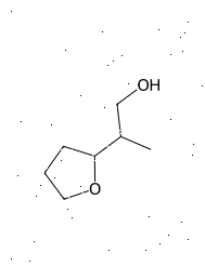 CC(CO)C1CCCO1